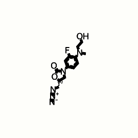 CN(CCO)c1ccc(N2C[C@H](CN=[N+]=[N-])OC2=O)cc1F